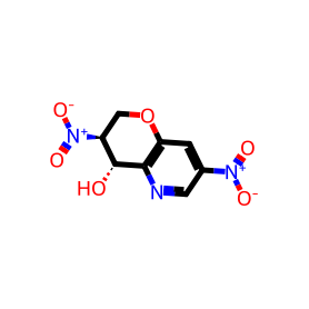 O=[N+]([O-])c1cnc2c(c1)OC[C@H]([N+](=O)[O-])[C@H]2O